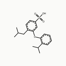 CC(C)Cc1ccc(S(=O)(=O)O)cc1Oc1ccccc1C(C)C